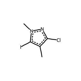 Cc1c(Cl)nn(C)c1I